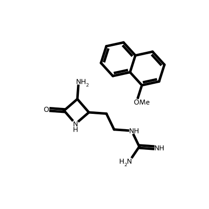 COc1cccc2ccccc12.N=C(N)NCCC1NC(=O)C1N